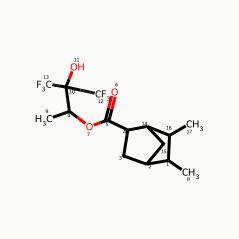 CC1C2CC(C(=O)OC(C)C(O)(C(F)(F)F)C(F)(F)F)C(C2)C1C